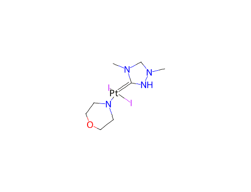 CN1CN(C)[C](=[Pt]([I])([I])[N]2CCOCC2)N1